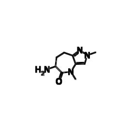 CN1C(=O)C(N)CCc2nn(C)cc21